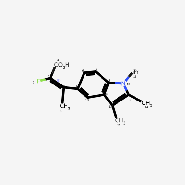 C/C(=C(\F)C(=O)O)c1ccc2c(c1)c(C)c(C)n2C(C)C